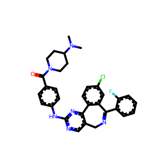 CN(C)C1CCN(C(=O)c2ccc(Nc3ncc4c(n3)-c3ccc(Cl)cc3C(c3ccccc3F)=NC4)cc2)CC1